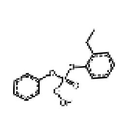 CCc1ccccc1OP(=O)(OO)Oc1ccccc1